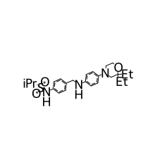 CCC1(CC)CN(c2ccc(NCc3ccc(NS(=O)(=O)C(C)C)cc3)cc2)CCO1